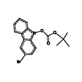 CC(C)(C)OC(=O)On1c2ccccc2c2cc(Br)ccc21